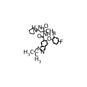 CC(C)Cn1ncc2cc(Oc3ccc(F)cc3F)c(C(=O)NC(C)(CCN3CCCC3)C(N)=O)cc21